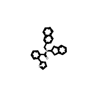 O=C(c1ccccc1-c1cccs1)N(Cc1ccc2ccccc2c1)C1Cc2ccccc2C1